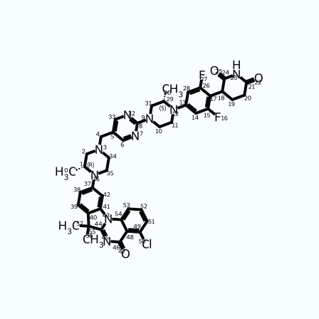 C[C@@H]1CN(Cc2cnc(N3CCN(c4cc(F)c(C5CCC(=O)NC5=O)c(F)c4)[C@@H](C)C3)nc2)CCN1c1ccc2c(c1)-n1c(nc(=O)c3c(Cl)cccc31)C2(C)C